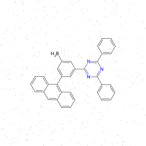 Bc1cc(-c2nc(-c3ccccc3)nc(-c3ccccc3)n2)cc(-c2c3ccccc3cc3ccccc23)c1